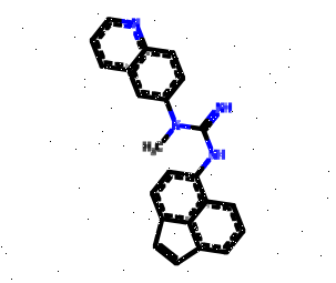 CN(C(=N)Nc1ccc2c3c(cccc13)C=C2)c1ccc2ncccc2c1